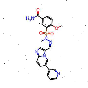 COc1ccc(C(N)=O)cc1S(=O)(=O)N(C)/N=C\c1cnc2ccc(-c3cccnc3)cn12